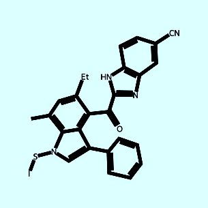 CCc1cc(C)c2c(c(-c3ccccc3)cn2SI)c1C(=O)c1nc2cc(C#N)ccc2[nH]1